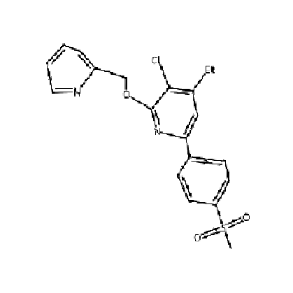 CCc1cc(-c2ccc(S(C)(=O)=O)cc2)nc(OCc2ccccn2)c1Cl